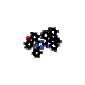 c1ccc(-c2nc(-c3nc4ccccc4c4c3-c3ccccc3C43c4ccccc4-c4ccccc43)nc(-c3cccc4oc5ccccc5c34)n2)cc1